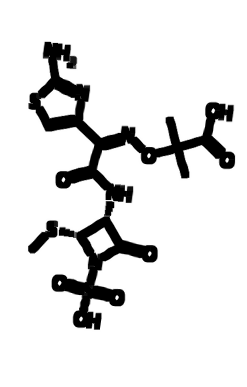 CS[C@@H]1[C@H](NC(=O)C(=NOC(C)(C)C(=O)O)c2csc(N)n2)C(=O)N1S(=O)(=O)O